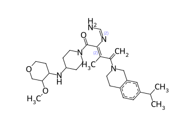 C=C(/C(C)=C(\N=C/N)C(=O)N1CCC(NC2CCOCC2OC)CC1)N1CCc2ccc(C(C)C)cc2C1